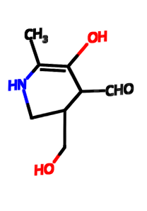 CC1=C(O)C(C=O)C(CO)CN1